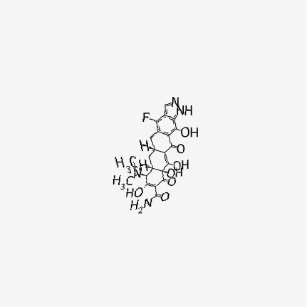 CN(C)[C@@H]1C(O)=C(C(N)=O)C(=O)[C@@]2(O)C(O)=C3C(=O)c4c(c(F)c5cn[nH]c5c4O)C[C@H]3C[C@@H]12